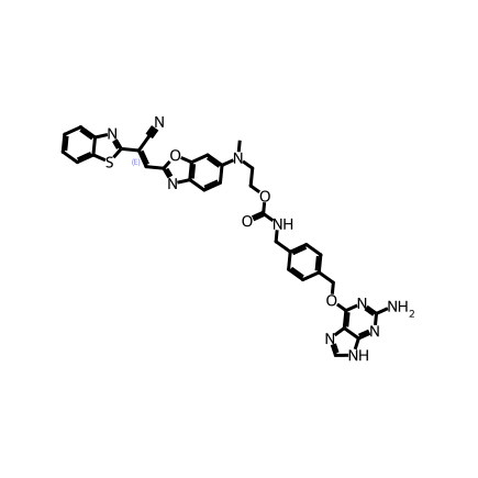 CN(CCOC(=O)NCc1ccc(COc2nc(N)nc3[nH]cnc23)cc1)c1ccc2nc(/C=C(\C#N)c3nc4ccccc4s3)oc2c1